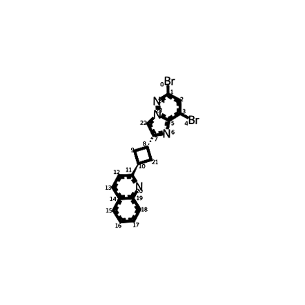 Brc1cc(Br)c2nc([C@H]3C[C@H](c4ccc5ccccc5n4)C3)cn2n1